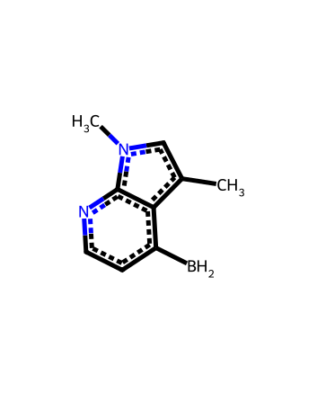 Bc1ccnc2c1c(C)cn2C